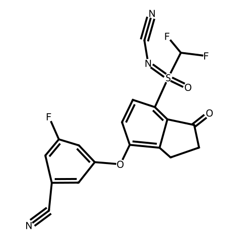 N#CN=S(=O)(c1ccc(Oc2cc(F)cc(C#N)c2)c2c1C(=O)CC2)C(F)F